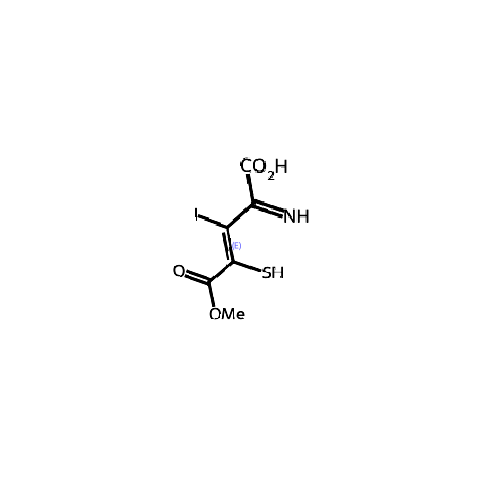 COC(=O)/C(S)=C(\I)C(=N)C(=O)O